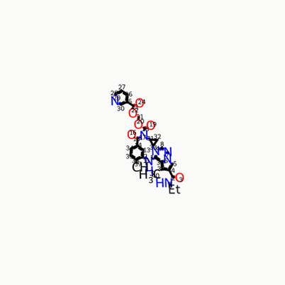 CCNC(=O)c1cn2ncnc(Nc3cc(C(=O)N(C(=O)OCOC(=O)c4cccnc4)C4CC4)ccc3C)c2c1C